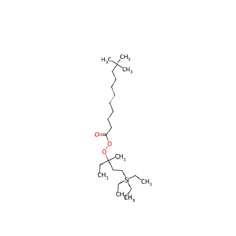 CCC(C)(CC[Si](CC)(CC)CC)OOC(=O)CCCCCCCCC(C)(C)C